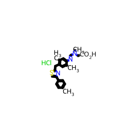 Cc1ccc(-c2csc(Cc3cc(C)c(N=CN(C)CC(=O)O)cc3C)n2)cc1.Cl